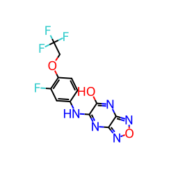 Oc1nc2nonc2nc1Nc1ccc(OCC(F)(F)F)c(F)c1